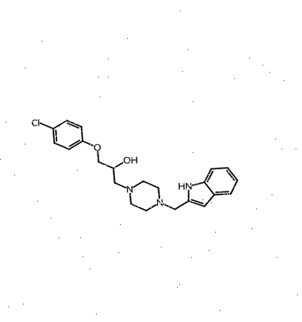 OC(COc1ccc(Cl)cc1)CN1CCN(Cc2cc3ccccc3[nH]2)CC1